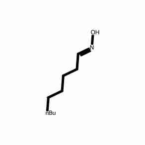 CCCC[CH]CCCC=NO